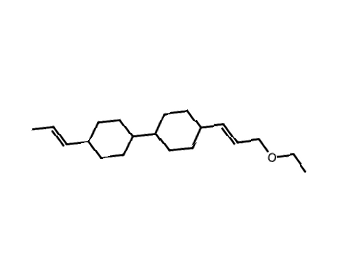 CC=CC1CCC(C2CCC(C=CCOCC)CC2)CC1